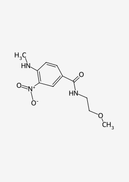 CNc1ccc(C(=O)NCCOC)cc1[N+](=O)[O-]